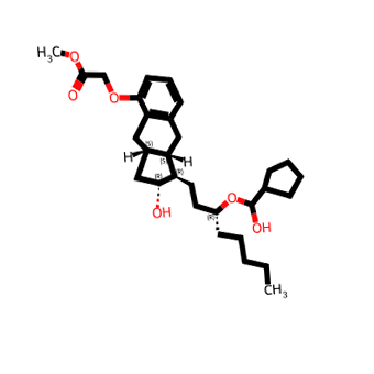 CCCCC[C@H](CC[C@@H]1[C@H]2Cc3cccc(OCC(=O)OC)c3C[C@H]2C[C@H]1O)OC(O)C1CCCC1